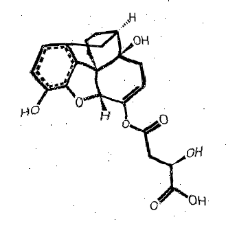 O=C(C[C@@H](O)C(=O)O)OC1=CC[C@@]2(O)[C@@H]3CCC[C@@]24c2c(ccc(O)c2O[C@@H]14)C3